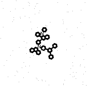 C1=C(c2cc(-c3ccccc3)cc(-c3ccccc3)c2)CCC(N(c2cccc(-c3cc4ccccc4c4c3c3ccccc3n4-c3ccccc3)c2)c2cc3ccccc3c3ccccc23)=C1